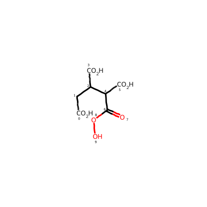 O=C(O)CC(C(=O)O)C(C(=O)O)C(=O)OO